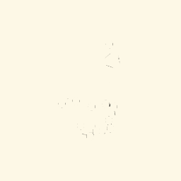 COc1ccc(CCCCO[C@@H]2O[C@H](COC(C)=O)[C@@H](OC(C)=O)[C@H](OC(C)=O)[C@H]2OC(C)=O)cc1